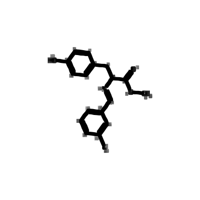 COC(=O)C(Cc1ccc(O)cc1)N=Cc1cccc(Cl)c1